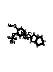 COc1ccc(NC2(C(=O)O)Cc3ccccc3C2)cc1OC(C)(C)O